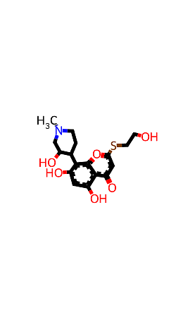 CN1CCC(c2c(O)cc(O)c3c(=O)cc(SCCO)oc23)C(O)C1